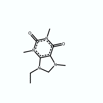 CCN1CN(C)c2c1n(C)c(=O)n(C)c2=O